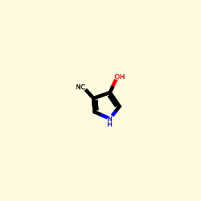 N#Cc1c[nH]cc1O